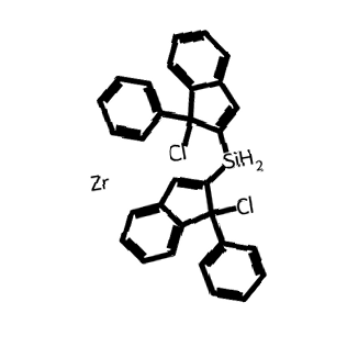 ClC1(c2ccccc2)C([SiH2]C2=Cc3ccccc3C2(Cl)c2ccccc2)=Cc2ccccc21.[Zr]